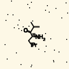 C=C(C)C(=O)[C@@H](N)CC(C)C